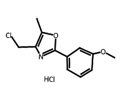 COc1cccc(-c2nc(CCl)c(C)o2)c1.Cl